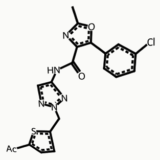 CC(=O)c1ccc(Cn2ncc(NC(=O)c3nc(C)oc3-c3cccc(Cl)c3)n2)s1